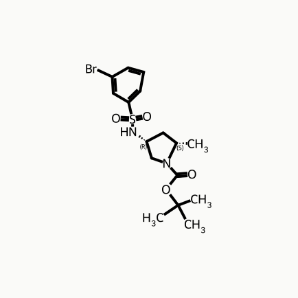 C[C@H]1C[C@@H](NS(=O)(=O)c2cccc(Br)c2)CN1C(=O)OC(C)(C)C